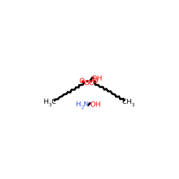 CCCCCCCCCCCCCCCC(=O)OC[C@H](CO)OC(=O)CCCCCCCCCCCCCCC.NCCO